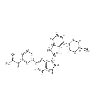 CCC(=O)Nc1cncc(-c2cnc3[nH]nc(-c4cc5c(N6CCN(C)CC6)cncc5[nH]4)c3c2)c1